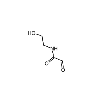 O=CC(=O)NCCO